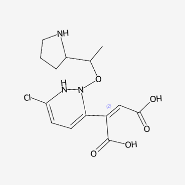 CC(ON1NC(Cl)=CC=C1/C(=C/C(=O)O)C(=O)O)C1CCCN1